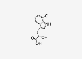 O=C(O)[C@@H](O)Cc1c[nH]c2c(Cl)cccc12